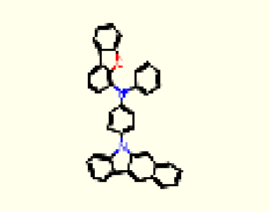 c1ccc(N(c2ccc(-n3c4ccccc4c4cc5ccccc5cc43)cc2)c2cccc3c2oc2ccccc23)cc1